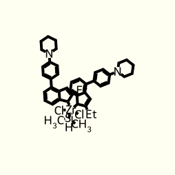 CCC1=Cc2c(-c3ccc(N4CCCCC4)cc3)cccc2[CH]1[Zr]([Cl])([Cl])([CH]1C(CC)=Cc2c(-c3ccc(N4CCCCC4)cc3)cccc21)[SiH](C)C